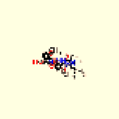 CCCc1nc(C)c2c(=O)[nH]c(-c3cc(S(=O)(=O)N(CCCO)Cc4ccccc4OC)ccc3OCC)nn12